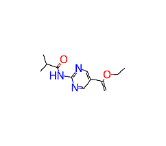 C=C(OCC)c1cnc(NC(=O)C(C)C)nc1